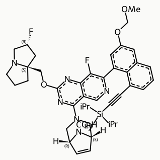 COCOc1cc(-c2ncc3c(N4C[C@H]5C=C[C@@H](C4)N5C(=O)O)nc(OC[C@@]45CCCN4C[C@H](F)C5)nc3c2F)c2c(C#C[Si](C(C)C)(C(C)C)C(C)C)cccc2c1